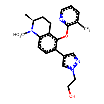 C[C@H]1CCc2c(ccc(-c3cnn(CCO)c3)c2Oc2ncccc2C(F)(F)F)N1C(=O)O